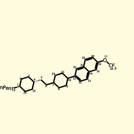 CCCCC[C@H]1CC[C@H](CCC2CCC(c3ccc4cc(OC(F)(F)F)ccc4c3)CC2)CC1